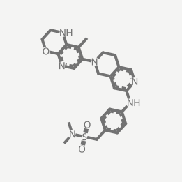 Cc1c(N2CCc3cnc(Nc4ccc(CS(=O)(=O)N(C)C)cc4)cc3C2)cnc2c1NCCO2